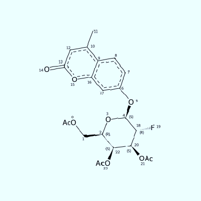 CC(=O)OC[C@H]1O[C@@H](Oc2ccc3c(C)cc(=O)oc3c2)[C@H](F)[C@@H](OC(C)=O)[C@H]1OC(C)=O